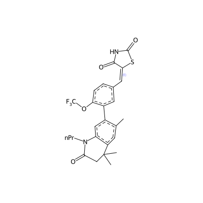 CCCN1C(=O)CC(C)(C)c2cc(C)c(-c3cc(/C=C4/SC(=O)NC4=O)ccc3OC(F)(F)F)cc21